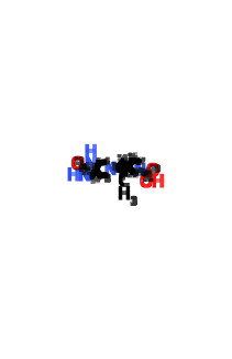 CC1C(N2CCC3(CC2)CNC(=O)N3)CC12CCN(C(=O)O)C2